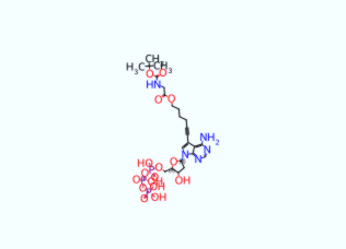 CC(C)(C)OC(=O)NCC(=O)OCCCCC#Cc1cn([C@H]2CC(O)[C@@H](COP(=O)(O)OP(=O)(O)OP(=O)(O)O)O2)c2ncnc(N)c12